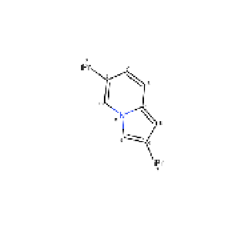 CC(C)c1ccc2cc(C(C)C)cn2c1